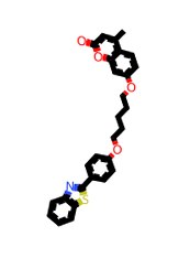 Cc1cc(=O)oc2cc(OCCCCCOc3ccc(-c4nc5ccccc5s4)cc3)ccc12